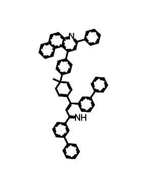 CC1(c2ccc(-c3cc(-c4ccccc4)nc4ccc5ccccc5c34)cc2)C=CC(/C(=C/C(=N)c2cccc(-c3ccccc3)c2)c2cccc(-c3ccccc3)c2)=CC1